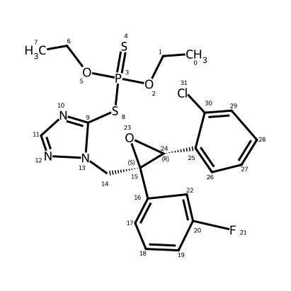 CCOP(=S)(OCC)Sc1ncnn1C[C@]1(c2cccc(F)c2)O[C@@H]1c1ccccc1Cl